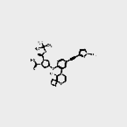 C[C@H]1N(c2cc(C#Cc3ccn(C)n3)cnc2O[C@H]2C[C@@H](C(=O)O)N(C(=O)OC(C)(C)C)C2)CCOC12COC2